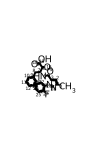 Cc1cc(C(=O)NC(Cc2ccccc2)C(=O)C(=O)O)n(-c2ccccc2F)n1